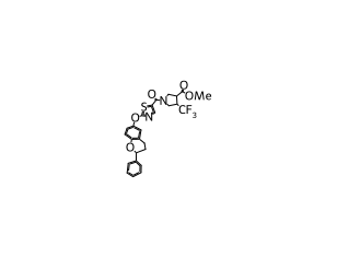 COC(=O)C1CN(C(=O)c2cnc(Oc3ccc4c(c3)CCC(c3ccccc3)O4)s2)CC1C(F)(F)F